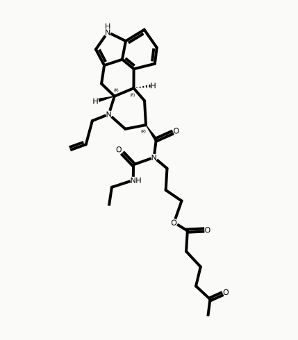 C=CCN1C[C@H](C(=O)N(CCCOC(=O)CCCC(C)=O)C(=O)NCC)C[C@@H]2c3cccc4[nH]cc(c34)C[C@H]21